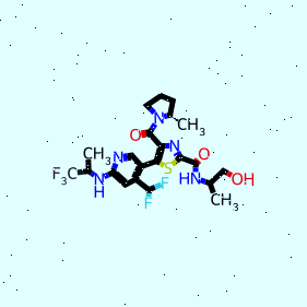 CC(CO)NC(=O)c1nc(C(=O)N2CCC[C@@H]2C)c(-c2cnc(NC(C)C(F)(F)F)cc2C(F)F)s1